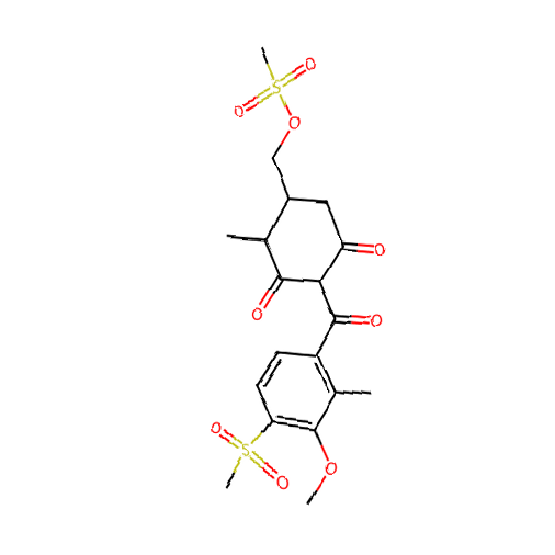 COc1c(S(C)(=O)=O)ccc(C(=O)C2C(=O)CC(COS(C)(=O)=O)C(C)C2=O)c1C